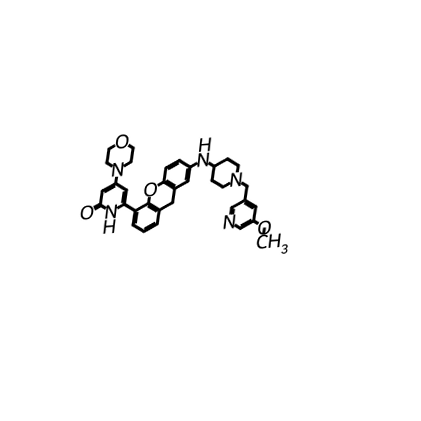 COc1cncc(CN2CCC(Nc3ccc4c(c3)Cc3cccc(-c5cc(N6CCOCC6)cc(=O)[nH]5)c3O4)CC2)c1